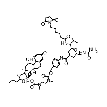 CCCC1O[C@@H]2CC3[C@@H]4CCC5=CC(=O)C=C[C@]5(C)C4[C@@H](O)C[C@]3(C)[C@]2(C(=O)COC(=O)N(C)CCN(C)C(=O)OCc2ccc(NC(=O)[C@H](CCCNC(N)=O)CC(=O)[C@@H](NC(=O)CCCCCN3C(=O)C=CC3=O)C(C)C)cc2)O1